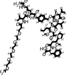 CC[C@H](C)C([C@@H](CC(=O)N1CCC[C@H]1[C@H](OC)[C@@H](C)C(=O)N[C@@H](Cc1ccccc1)C(=O)O)OC)N(C)C(=O)[C@@H](NC(=O)[C@H](C(C)C)N(C)C(=O)OCc1ccc(NC(=O)[C@H](CCCNC(N)=O)NC(=O)[C@@H](NC(=O)CCOCCOCCOCCOCCON)C(C)C)cc1)C(C)C